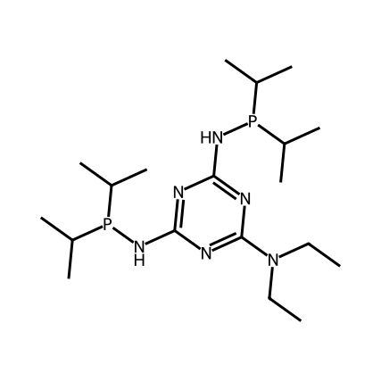 CCN(CC)c1nc(NP(C(C)C)C(C)C)nc(NP(C(C)C)C(C)C)n1